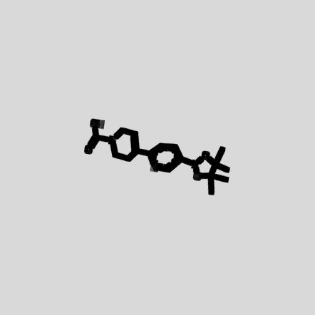 CC1(C)OB(c2ccc(C3=CCN(C(=O)O)CC3)nc2)OC1(C)C